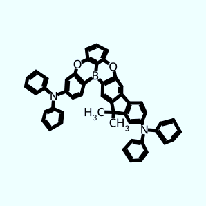 CC1(C)c2cc(N(c3ccccc3)c3ccccc3)ccc2-c2cc3c(cc21)B1c2ccc(N(c4ccccc4)c4ccccc4)cc2Oc2cccc(c21)O3